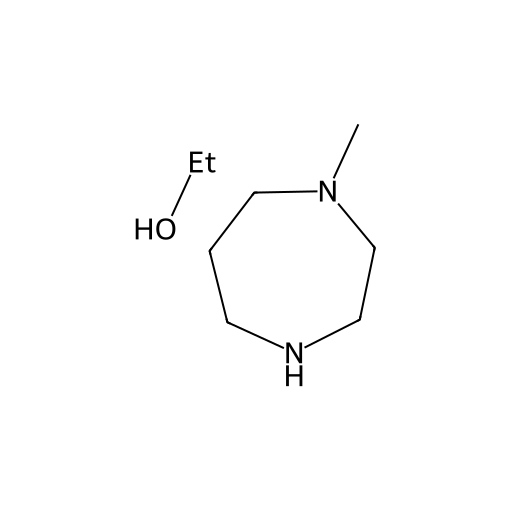 CCO.CN1CCCNCC1